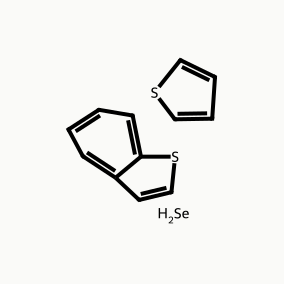 [SeH2].c1ccc2sccc2c1.c1ccsc1